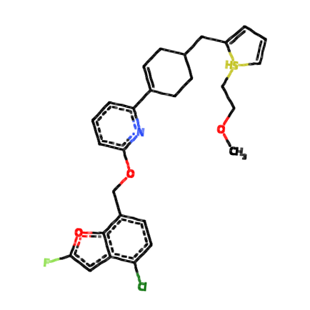 COCC[SH]1C=CC=C1CC1CC=C(c2cccc(OCc3ccc(Cl)c4cc(F)oc34)n2)CC1